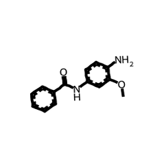 COc1cc(NC(=O)c2ccccc2)ccc1N